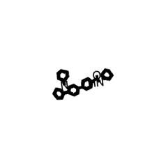 c1ccc(-n2c3ccccc3c3ccc(-c4ccc(C5Nc6ccccc6O5)cc4)cc32)cc1